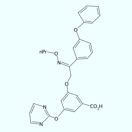 CCCON=C(COc1cc(Oc2ncccn2)cc(C(=O)O)c1)c1cccc(Oc2ccccc2)c1